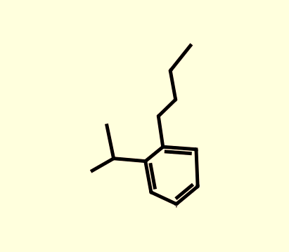 CCCCc1cc[c]cc1C(C)C